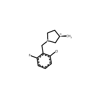 C[C@@H]1CCN(Cc2c(F)cccc2Cl)C1